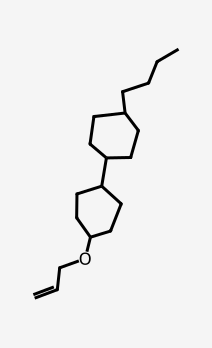 C=CCOC1CCC(C2CCC(CCCC)CC2)CC1